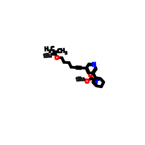 CC(C)(C)OC(=O)N1C2CCC1C(c1cncc(C#CCCCCO[Si](C)(C)C(C)(C)C)c1)C2